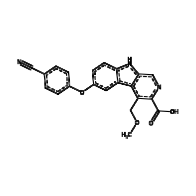 COCc1c(C(=O)O)ncc2[nH]c3ccc(Oc4ccc(C#N)cc4)cc3c12